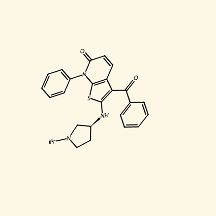 CC(C)N1CC[C@H](Nc2sc3c(ccc(=O)n3-c3ccccc3)c2C(=O)c2ccccc2)C1